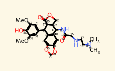 COc1cc(C2c3cc4c(cc3C(NC(=O)CNCCN(C)C)C3COC(=O)C23)OCO4)cc(OC)c1O